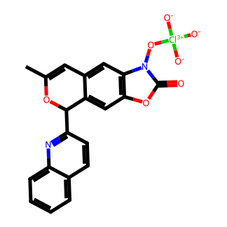 CC1=Cc2cc3c(cc2C(c2ccc4ccccc4n2)O1)oc(=O)n3O[Cl+3]([O-])([O-])[O-]